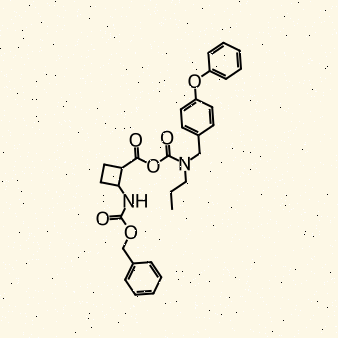 CCCN(Cc1ccc(Oc2ccccc2)cc1)C(=O)OC(=O)C1CCC1NC(=O)OCc1ccccc1